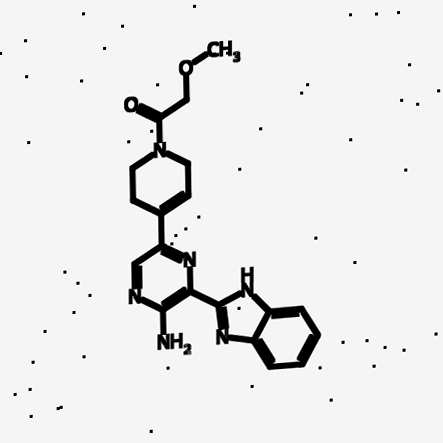 COCC(=O)N1CC=C(c2cnc(N)c(-c3nc4ccccc4[nH]3)n2)CC1